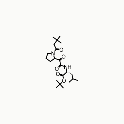 CC(C)C[C@@H](NC(=O)C(=O)C1CCCN1C(=O)CC(C)(C)C)C(=O)OC(C)(C)C